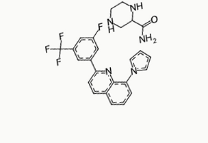 Fc1cc(-c2ccc3cccc(-n4cccc4)c3n2)cc(C(F)(F)F)c1.NC(=O)C1CNCCN1